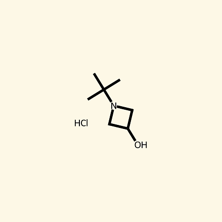 CC(C)(C)N1CC(O)C1.Cl